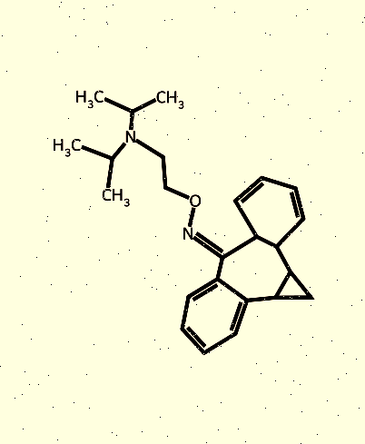 CC(C)N(CCON=C1c2ccccc2C2CC2C2C=CC=CC12)C(C)C